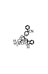 CC(C)(N)C(=O)N[C@H](Cc1c[nH]c2ccccc12)C(=O)N1CCC(C#N)(c2ccccc2)CC1